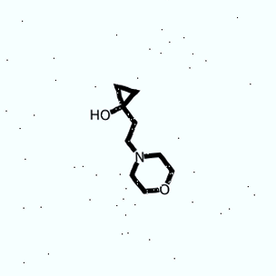 OC1(CCN2CCOCC2)CC1